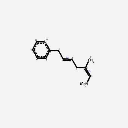 CN/C=C(/C)C/C=C/Cc1ccccn1